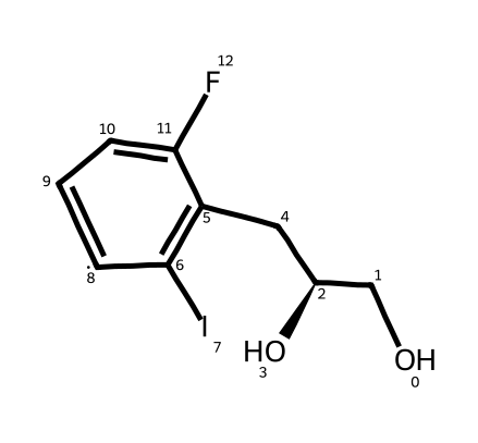 OC[C@@H](O)Cc1c(I)[c]ccc1F